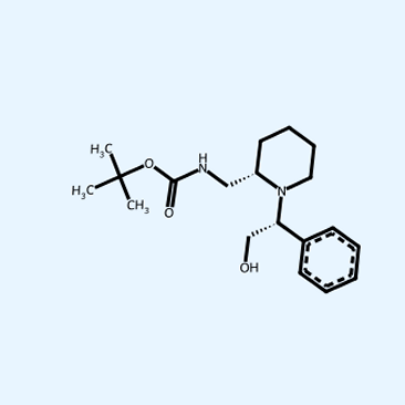 CC(C)(C)OC(=O)NC[C@@H]1CCCCN1[C@@H](CO)c1ccccc1